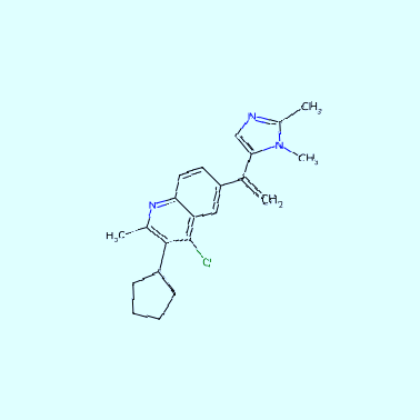 C=C(c1ccc2nc(C)c(C3CCCC3)c(Cl)c2c1)c1cnc(C)n1C